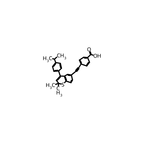 CC(C)c1ccc(C2=CC(C)(C)Sc3ccc(C#Cc4ccc(C(=O)O)cc4)cc32)cc1